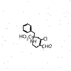 O=CC1=C(Cl)CC(Cc2ccccc2)(C(=O)O)NCC1